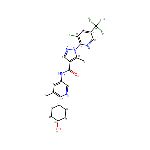 Cc1cc(NC(=O)c2cnn(-c3ncc(C(F)(F)F)cc3F)c2C)cnc1[C@H]1CC[C@H](O)CC1